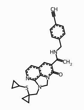 C#Cc1ccc(CNC(=C)c2cc3ccnc4c3n(c2=O)CN4CC2(SC3CC3)CC2)cc1